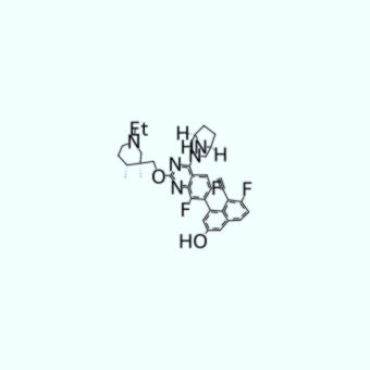 C#Cc1c(F)ccc2cc(O)cc(-c3c(F)cc4c(N5C[C@H]6CC[C@@H](C5)N6)nc(OC[C@]5(C)CN(CC)CC[C@H]5C)nc4c3F)c12